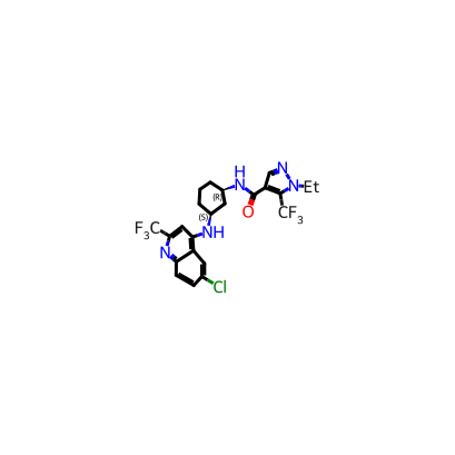 CCn1ncc(C(=O)N[C@@H]2CCC[C@H](Nc3cc(C(F)(F)F)nc4ccc(Cl)cc34)C2)c1C(F)(F)F